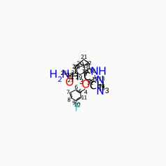 CC(C)(OCc1cccc(F)c1)/C(=N\C#N)NC1C2CC3CC1CC(C(N)=O)(C3)C2